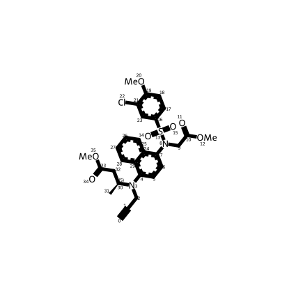 C#CCN(c1ccc(N(CC(=O)OC)S(=O)(=O)c2ccc(OC)c(Cl)c2)c2ccccc12)[C@@H](C)CC(=O)OC